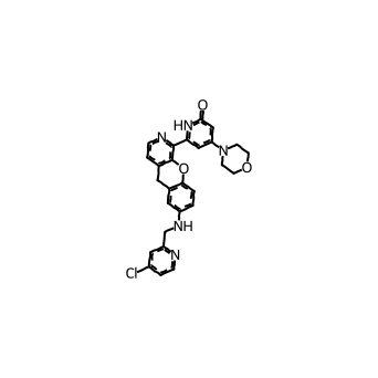 O=c1cc(N2CCOCC2)cc(-c2nccc3c2Oc2ccc(NCc4cc(Cl)ccn4)cc2C3)[nH]1